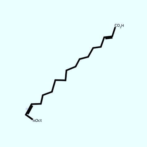 CCCCCCCC/C=C\CCCCCCCCCCCC=CC(=O)O